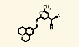 CC1=CC(C(C#N)C#N)C=C(C=C=Cc2cc3c4c(c2)CCCN4CCC3)O1